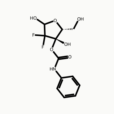 O=C(Nc1ccccc1)O[C@@]1(O)[C@@H](CO)OC(O)C1(F)F